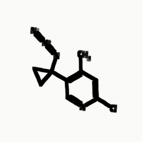 Cc1cc(Cl)ncc1C1(N=[N+]=[N-])CC1